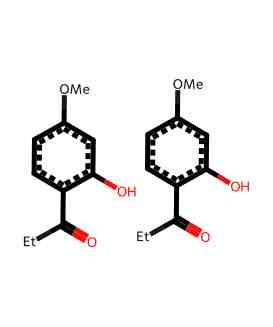 CCC(=O)c1ccc(OC)cc1O.CCC(=O)c1ccc(OC)cc1O